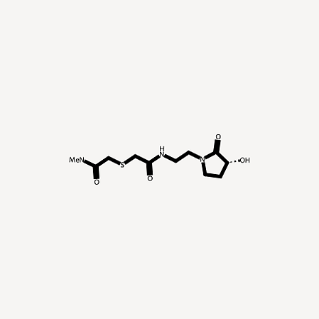 CNC(=O)CSCC(=O)NCCN1CC[C@@H](O)C1=O